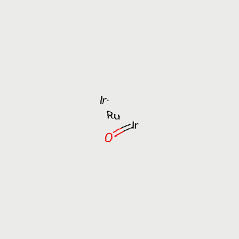 [Ir].[O]=[Ir].[Ru]